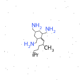 CC(C)CCCC(C)C=C1C(CN)CC(CN)CC1CN